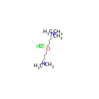 CN(C)CCCCCOCCCCC[N+](C)(C)C.Cl.[Cl-]